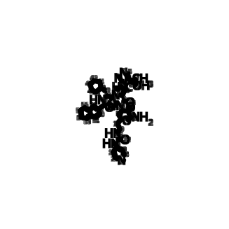 CC(C)(O)c1cnnn1[C@H]1C[C@@H](C(=O)NC(CCCCNC(=O)Nc2ccncc2)C(=O)C(N)=O)N(C(=O)[C@@H](CC2CCCCC2)NC(=O)c2ccc3ccccc3c2)C1